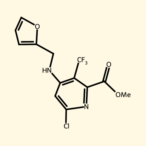 COC(=O)c1nc(Cl)cc(NCc2ccco2)c1C(F)(F)F